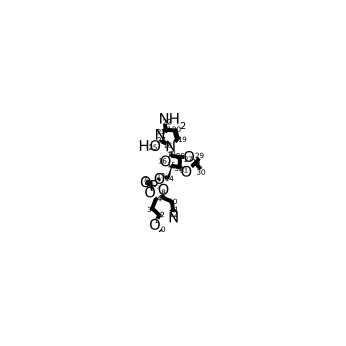 COCCCOP(=O)(OCCC#N)OC[C@H]1O[C@@H](N2C=CC(N)=NC2O)C2OC(C)(C)OC21